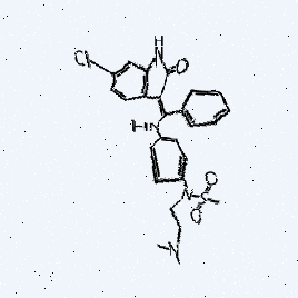 CN(C)CCN(c1ccc(NC(=C2C(=O)Nc3cc(Cl)ccc32)c2ccccc2)cc1)S(C)(=O)=O